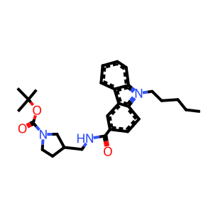 CCCCCn1c2ccccc2c2cc(C(=O)NCC3CCN(C(=O)OC(C)(C)C)C3)ccc21